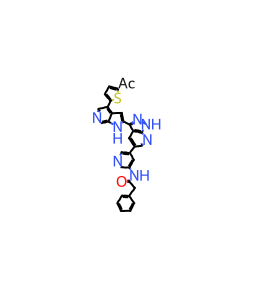 CC(=O)c1ccc(-c2cncc3[nH]c(-c4n[nH]c5ncc(-c6cncc(NC(=O)Cc7ccccc7)c6)cc45)cc23)s1